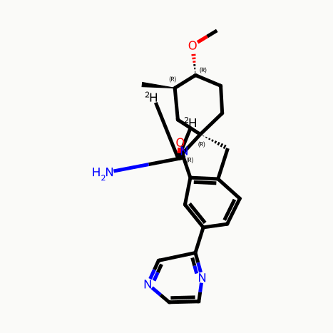 [2H]C1([2H])OC(N)=N[C@]12c1cc(-c3cnccn3)ccc1C[C@]21CC[C@@H](OC)[C@H](C)C1